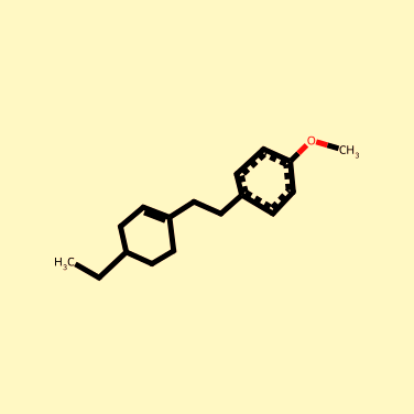 CCC1CC=C(CCc2ccc(OC)cc2)CC1